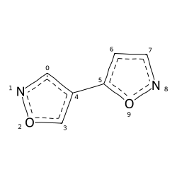 [c]1nocc1-c1ccno1